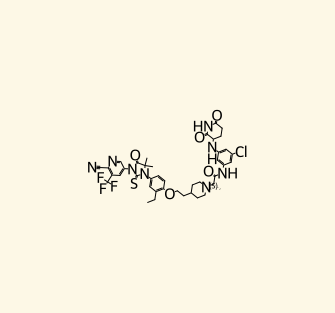 CCc1cc(N2C(=S)N(c3cnc(C#N)c(C(F)(F)F)c3)C(=O)C2(C)C)ccc1OCCC1CCN([C@@H](C)C(=O)Nc2cc(Cl)cc(NC3CCC(=O)NC3=O)c2)CC1